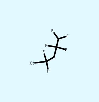 [CH2]CC(F)(F)CC(F)(F)C(F)F